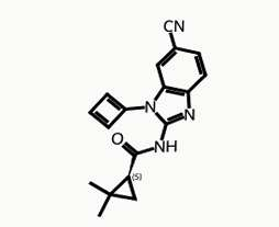 CC1(C)C[C@@H]1C(=O)Nc1nc2ccc(C#N)cc2n1C1=CC=C1